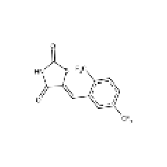 O=C1NC(=O)C(=Cc2cc(C(F)(F)F)ccc2C(F)(F)F)S1